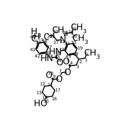 CCC(CC(=O)OCOC(=O)C1CCC(O)CC1)c1ccc(N(CC(C)C)CC(C)C)c(NC(=O)Nc2ccc(C)cc2)c1